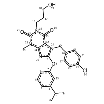 CC(C)c1cccc(Oc2nc3c(c(=O)n(CCCO)c(=O)n3C)n2Cc2ccc(Cl)cc2)c1